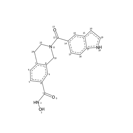 O=C(NO)c1ccc2c(c1)CN(C(=O)c1ccc3[nH]ccc3c1)CC2